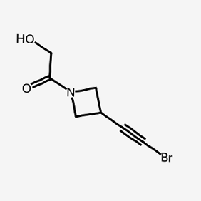 O=C(CO)N1CC(C#CBr)C1